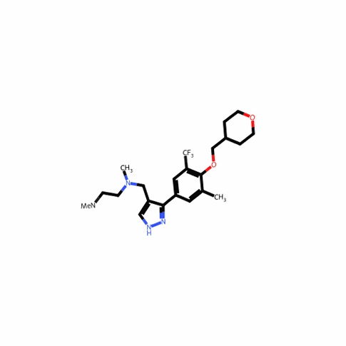 CNCCN(C)Cc1c[nH]nc1-c1cc(C)c(OCC2CCOCC2)c(C(F)(F)F)c1